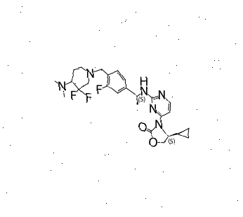 C[C@H](Nc1nccc(N2C(=O)OC[C@@H]2C2CC2)n1)c1ccc(CN2CCC(N(C)C)C(F)(F)C2)c(F)c1